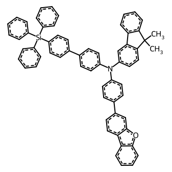 CC1(C)c2ccccc2-c2cc(N(c3ccc(-c4ccc([Si](c5ccccc5)(c5ccccc5)c5ccccc5)cc4)cc3)c3ccc(-c4ccc5c(c4)oc4ccccc45)cc3)ccc21